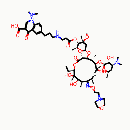 CC[C@H]1OC(=O)[C@H](C)[C@@H](O[C@H]2C[C@@](C)(OC)[C@@H](OC(=O)CCNCCCc3ccc4c(c3)c(=O)c(C(=O)O)cn4N(C)C)[C@H](C)O2)[C@H](C)[C@@H](O[C@@H]2O[C@H](C)C[C@H](N(C)C)[C@H]2O)[C@](C)(O)C[C@@H](C)/C(=N\OCCN2CCOCC2)[C@@H](C)[C@@H](O)[C@]1(C)O